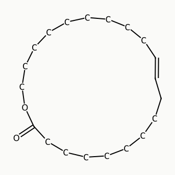 O=C1CCCCCCCC/C=C/CCCCCCCCCO1